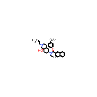 C=CCN1CC[C@@]2(c3cccc(OC(C)=O)c3)C[C@@H](N(CC(C)C)C(=O)c3ccc4ccccc4c3)CC[C@]2(O)C1